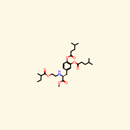 CCC(C)C(=O)OCCN[C@@H](Cc1ccc(OC(=O)CCC(C)C)c(OC(=O)CCC(C)C)c1)C(=O)OC